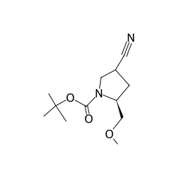 COC[C@@H]1CC(C#N)CN1C(=O)OC(C)(C)C